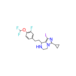 Fc1cc(CCC2NCCn3c(C4CC4)nc(I)c32)ccc1OC(F)F